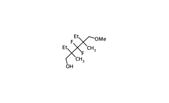 CCC(C)(CO)C(F)(F)C(C)(CC)COC